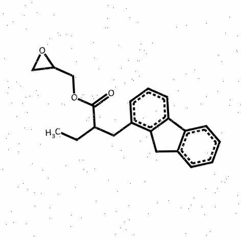 CCC(Cc1cccc2c1Cc1ccccc1-2)C(=O)OCC1CO1